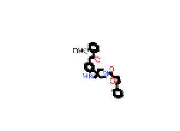 O=Cc1ccccc1C(=O)Cc1ccc2c(c1)C1(CCN(C(=O)c3ccc(-c4ccccc4)o3)CC1)CN2